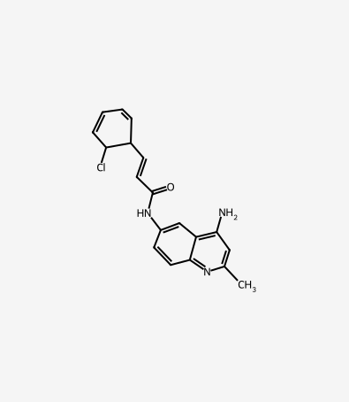 Cc1cc(N)c2cc(NC(=O)/C=C/C3C=CC=CC3Cl)ccc2n1